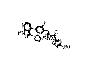 CN[C@@H]1CCN(c2n[nH]c3nccc(-c4ccc(CNC(=O)c5nc(C(C)(C)C)no5)c(F)c4)c23)C1